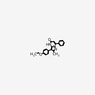 CCOc1ccc(-c2c(C)nn3c(-c4ccccc4)cc(=O)[nH]c23)cc1